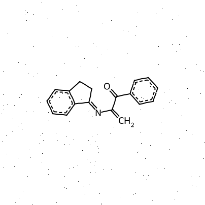 C=C(/N=C1\CCc2ccccc21)C(=O)c1ccccc1